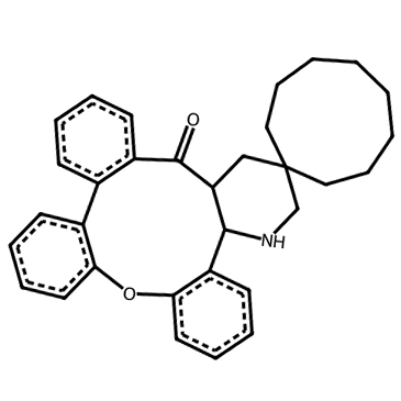 O=C1c2ccccc2-c2ccccc2Oc2ccccc2C2NCC3(CCCCCCCC3)CC12